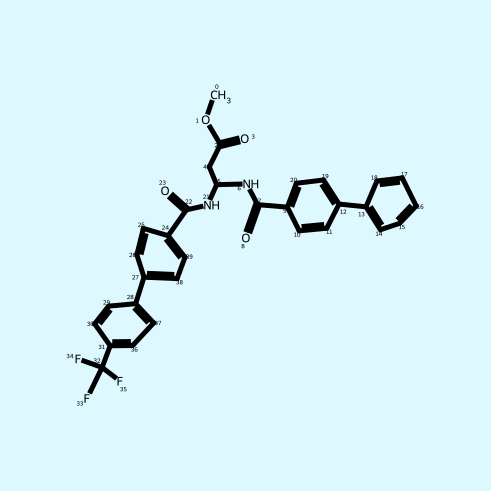 COC(=O)CC(NC(=O)c1ccc(-c2ccccc2)cc1)NC(=O)c1ccc(-c2ccc(C(F)(F)F)cc2)cc1